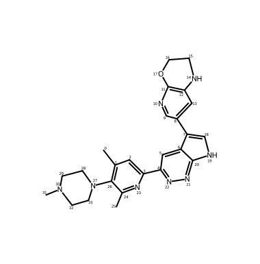 Cc1cc(-c2cc3c(-c4cnc5c(c4)NCCO5)c[nH]c3nn2)nc(C)c1N1CCN(C)CC1